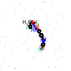 CC(C)c1cc(F)ccc1N1C(=O)CS/C1=N\C(=O)NC1CCC(c2ccc(-c3ncn(-c4ccc(OC(F)(F)F)cc4)n3)cc2)C1